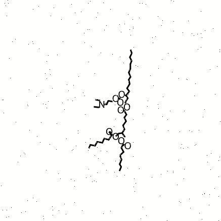 CCCCCCCCCCCCC(CCOC(=O)CCCCCC(COC(=O)CCCCCCC)COC(=O)CCCCCCC)OC(=O)OCCCN(CC)CC